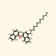 CCCCCCCCCCCCc1ccc(Oc2cccc3ccccc23)c2ccccc12